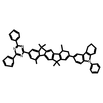 Cc1cc(-c2nc(-c3ccccc3)nc(-c3ccccc3)n2)cc2c1-c1cc3c(cc1C2(C)C)C1=C(C=C(c2ccc4c(c2)c2c(n4-c4ccccc4)C=CCC2)CC1C)C3(C)C